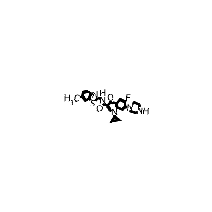 Cc1ccc2nc(NC(=O)c3cn(C4CC4)c4cc(N5CCNCC5)c(F)cc4c3=O)sc2c1